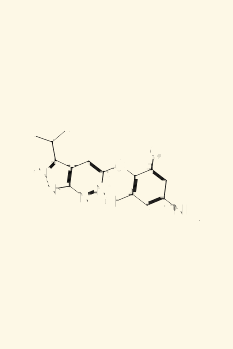 CC(C)c1n[nH]c2nnc(Oc3c(Cl)cc(N)cc3Cl)cc12